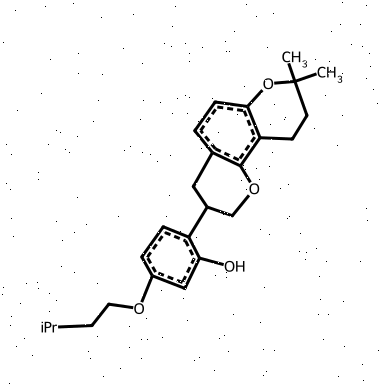 CC(C)CCOc1ccc(C2COc3c(ccc4c3CCC(C)(C)O4)C2)c(O)c1